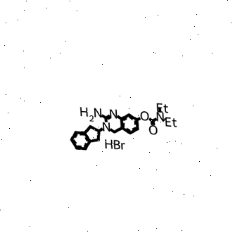 Br.CCN(CC)C(=O)Oc1ccc2c(c1)N=C(N)N(C1Cc3ccccc3C1)C2